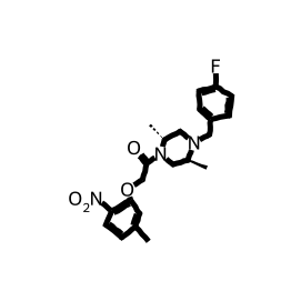 Cc1ccc([N+](=O)[O-])c(OCC(=O)N2C[C@H](C)N(Cc3ccc(F)cc3)C[C@H]2C)c1